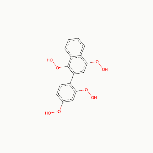 OOc1ccc(-c2cc(OO)c3ccccc3c2OO)c(OO)c1